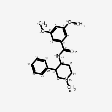 COc1cc(OC)cc(C(=O)NC2CCN(C)CC2c2ccccc2)c1